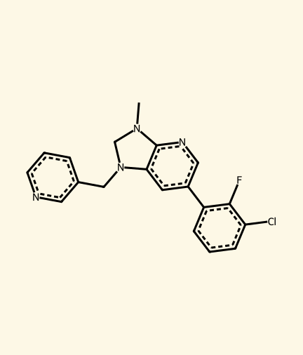 CN1CN(Cc2cccnc2)c2cc(-c3cccc(Cl)c3F)cnc21